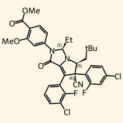 CC[C@@H]1N(c2ccc(C(=O)OC)c(OC)c2)C(=O)C2=C(c3cccc(Cl)c3F)[C@@](C#N)(c3ccc(Cl)cc3F)[C@H](CC(C)(C)C)N21